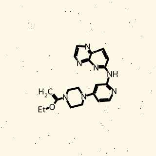 C=C(OCC)N1CCN(c2ccnc(Nc3ccc4nccnc4n3)c2)CC1